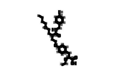 CCCCOCCN(CCOc1ccc(CC(OCC)C(=O)O)cc1)C(=O)NCc1ccc(F)cc1